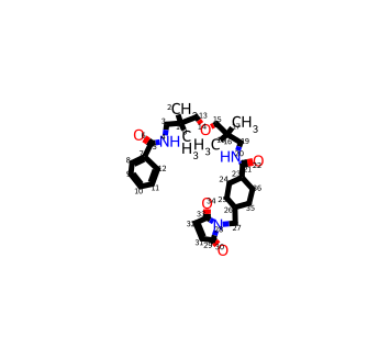 CC(C)(CNC(=O)c1ccccc1)COCC(C)(C)CNC(=O)C1CCC(CN2C(=O)C=CC2=O)CC1